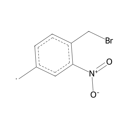 [CH2]c1ccc(CBr)c([N+](=O)[O-])c1